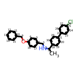 CC(NCc1ccc(OCc2ccccc2)cc1)c1ccc(-c2ccc(Cl)cc2)cc1